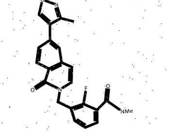 CNC(=O)c1cccc(Cn2ccc3cc(-c4conc4C)ccc3c2=O)c1F